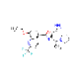 C=C(c1nc(-c2ccc(OCC)c3nc(C(F)(F)F)ccc23)oc1CN)N1CCCC1